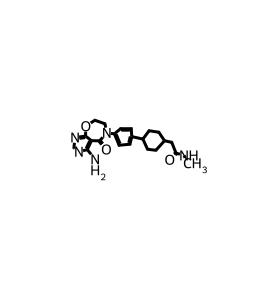 CNC(=O)CC1CCC(c2ccc(N3CCOc4ncnc(N)c4C3=O)cc2)CC1